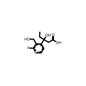 CCC(O)(CC(=O)O)c1ccnc(F)c1CO